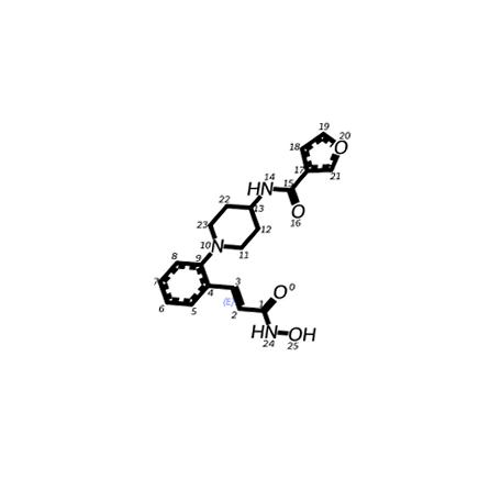 O=C(/C=C/c1ccccc1N1CCC(NC(=O)c2ccoc2)CC1)NO